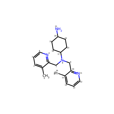 Cc1cccnc1CN(Cc1ncccc1C(C)C)C1CCC(N)CC1